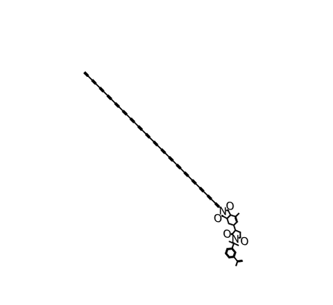 C#CC#CC#CC#CC#CC#CC#CC#CC#CC#CC#CC#CC#CC#CC#CC#CC#CC#CN1C(=O)C2CC(C3CC(=O)N(C(C)(C)c4cccc(C(=C)C)c4)C3=O)C=C(C)C2C1=O